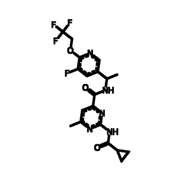 Cc1cc(C(=O)NC(C)c2cnc(OCC(F)(F)F)c(F)c2)nc(NC(=O)C2CC2)n1